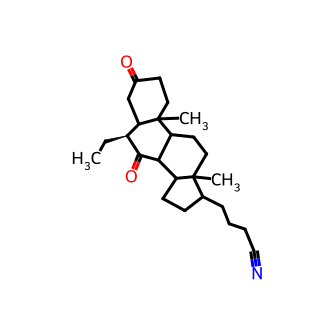 CC[C@@H]1C(=O)C2C3CCC(CCCC#N)C3(C)CCC2C2(C)CCC(=O)CC12